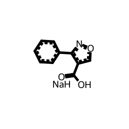 O=C(O)c1conc1-c1ccccc1.[NaH]